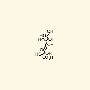 O=C(O)C(O)C(O)C(=O)OC[C@@H](O)[C@@H](O)[C@H](O)[C@H](O)CO